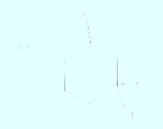 CCC1(O)CCC(C(=O)O)C(C)C1